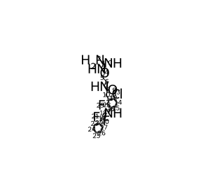 N=C(N)NOCCNC(=O)Cc1c(Cl)ccc(NCC(F)(F)c2ccccc2)c1F